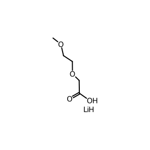 COCCOCC(=O)O.[LiH]